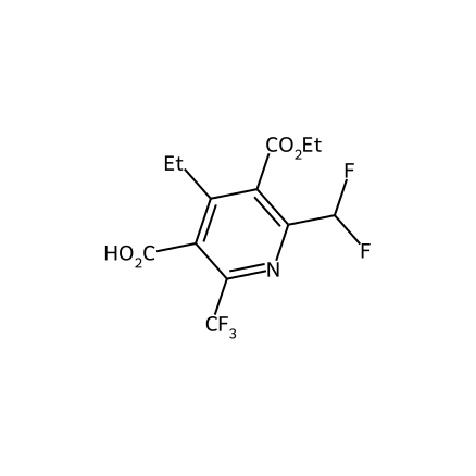 CCOC(=O)c1c(C(F)F)nc(C(F)(F)F)c(C(=O)O)c1CC